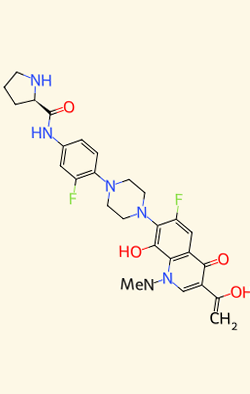 C=C(O)c1cn(NC)c2c(O)c(N3CCN(c4ccc(NC(=O)[C@H]5CCCN5)cc4F)CC3)c(F)cc2c1=O